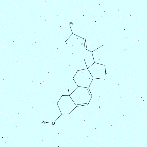 CC(C)OC1CCC2(C)C(=CC=C3C2CCC2(C)C3CCC2C(C)/C=C/C(C)C(C)C)C1